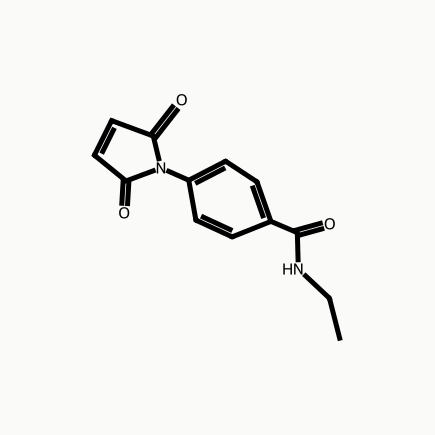 CCNC(=O)c1ccc(N2C(=O)C=CC2=O)cc1